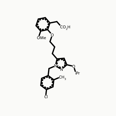 COc1cccc(CC(=O)O)c1OCCCc1cc(OC(C)C)nn1Cc1ccc(Cl)cc1C